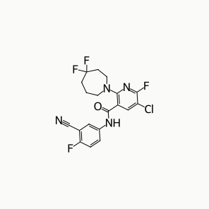 N#Cc1cc(NC(=O)c2cc(Cl)c(F)nc2N2CCCC(F)(F)CC2)ccc1F